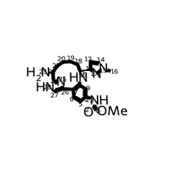 COC(=O)Nc1ccc2c(c1)N[C@H](c1ccn(C)n1)CCCC[C@H](N)c1nc-2c[nH]1